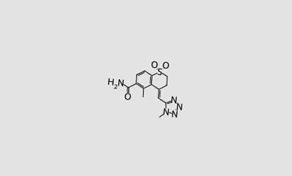 Cc1c(C(N)=O)ccc2c1C(=Cc1nnnn1C)CCS2(=O)=O